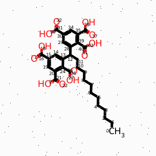 CCCCCCCCCCCCC(c1cc(C(=O)O)cc(C(=O)O)c1C(=O)O)c1cc(C(=O)O)cc(C(=O)O)c1C(=O)O